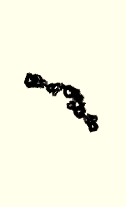 c1ccc2c(c1)CN(c1ccc3c(c1)CN(CC1CCC(CN4COc5ccc(N6COc7ccccc7C6)cc5C4)CC1)CO3)CO2